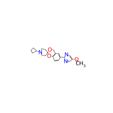 COc1cnc(-c2ccc3c(c2)COC2(CCN(C4CCC4)CC2)O3)nc1